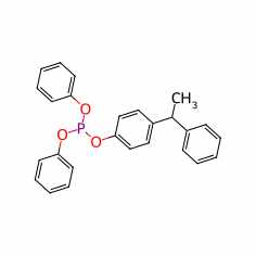 CC(c1ccccc1)c1ccc(OP(Oc2ccccc2)Oc2ccccc2)cc1